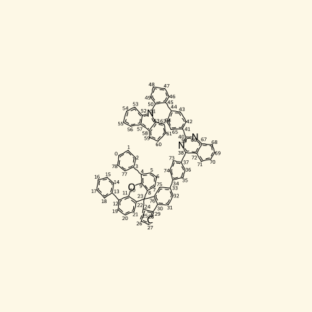 c1ccc(-c2cccc3c2Oc2c(-c4ccccc4)cccc2C32c3ccccc3-c3ccc(-c4ccc(-c5nc(-c6ccc(-c7ccccc7-n7c8ccccc8c8ccccc87)cc6)nc6ccccc56)cc4)cc32)cc1